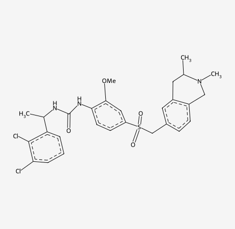 COc1cc(S(=O)(=O)Cc2ccc3c(c2)CC(C)N(C)C3)ccc1NC(=O)NC(C)c1cccc(Cl)c1Cl